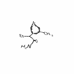 CCC(C(N)=O)c1cncc(C)c1